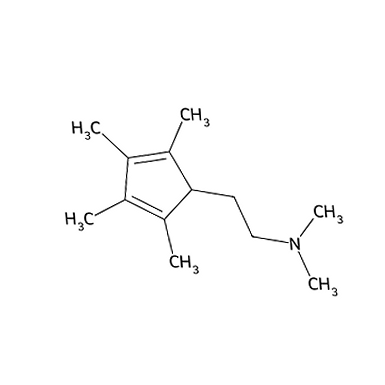 CC1=C(C)C(CCN(C)C)C(C)=C1C